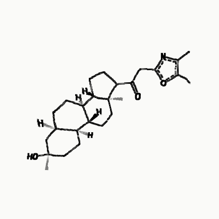 Cc1nc(CC(=O)C2CC[C@H]3[C@@H]4CC[C@@H]5C[C@](C)(O)CC[C@@H]5[C@H]4CC[C@]23C)oc1C